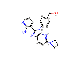 Nc1ncccc1-c1nc2ccc(N3CCC3)nc2n1-c1ccc(CO)cc1